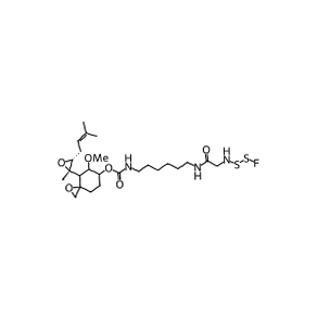 COC1C(OC(=O)NCCCCCCNC(=O)CNSSF)CCC2(CO2)C1[C@]1(C)O[C@@H]1CC=C(C)C